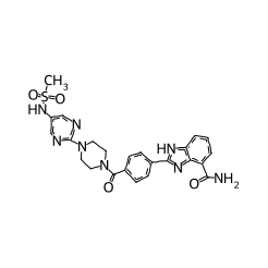 CS(=O)(=O)Nc1cnc(N2CCN(C(=O)c3ccc(-c4nc5c(C(N)=O)cccc5[nH]4)cc3)CC2)nc1